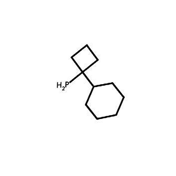 PC1(C2CCCCC2)CCC1